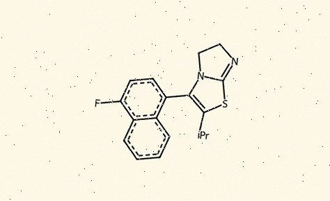 CC(C)C1=C(c2ccc(F)c3ccccc23)N2CCN=C2S1